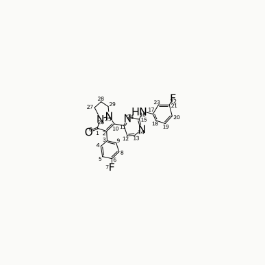 O=c1c(-c2ccc(F)cc2)c(-c2ccnc(Nc3cccc(F)c3)n2)n2n1CCC2